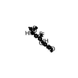 CC1CC(c2nc(-c3ccc(-c4ccc(NC(=O)N5CCC(N6CCN(C(=O)C(C)(C)C)CC6)CC5)cc4OC(F)(F)F)cc3)c[nH]2)N(C(=O)OC(C)(C)C)C1